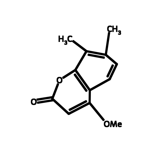 COc1cc(=O)oc2c(C)c(C)ccc12